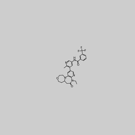 CCN1C(=O)CC2CCOCCN2c2cc(-c3cc(NC(=O)c4cccc(C(F)(F)F)c4)cnc3C)cnc21